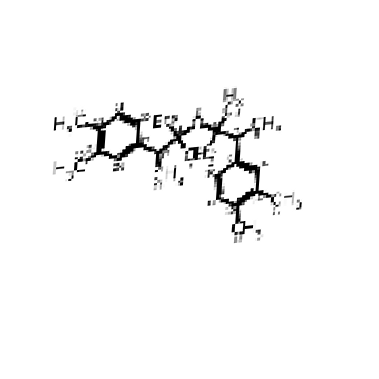 CCC(C)(OC(C)(CC)C(C)c1ccc(C)c(C)c1)C(C)c1ccc(C)c(C)c1